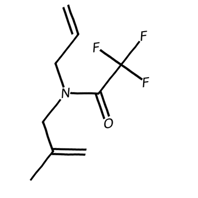 C=CCN(CC(=C)C)C(=O)C(F)(F)F